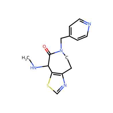 CNC1C(=O)N(Cc2ccncc2)CCc2ncsc21